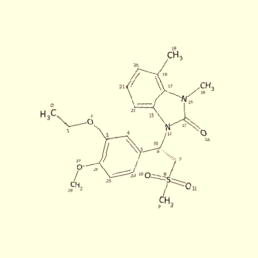 CCOc1cc([C@@H](CS(C)(=O)=O)n2c(=O)n(C)c3c(C)cccc32)ccc1OC